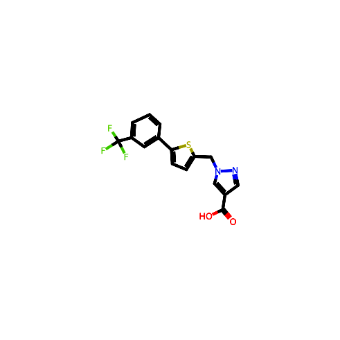 O=C(O)c1cnn(Cc2ccc(-c3cccc(C(F)(F)F)c3)s2)c1